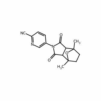 CC12CCC(C)(O1)C1C(=O)N(c3ccc(C#N)nc3)C(=O)C12